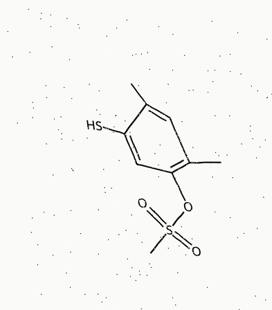 Cc1cc(C)c(OS(C)(=O)=O)cc1S